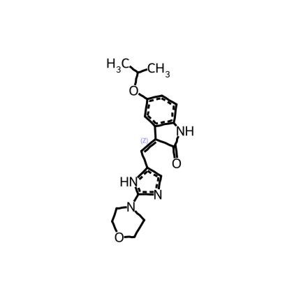 CC(C)Oc1ccc2c(c1)/C(=C/c1cnc(N3CCOCC3)[nH]1)C(=O)N2